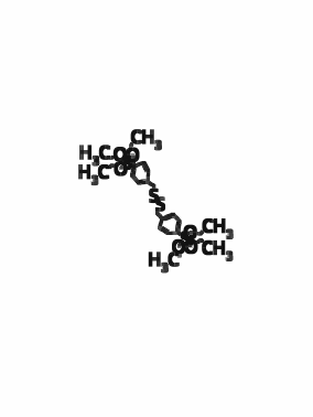 CCO[Si](OCC)(OCC)c1ccc(CSSCc2ccc([Si](OCC)(OCC)OCC)cc2)cc1